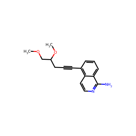 COCC(CC#Cc1cccc2c(N)nccc12)OC